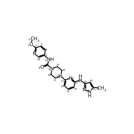 COc1ccc(NC(=O)N2CCN(c3cccc(Nc4cc(C)[nH]n4)n3)CC2)cn1